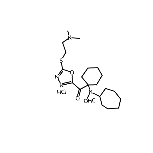 CN(C)CCSc1nnc(C(=O)C2(N(C=O)C3CCCCCC3)CCCCC2)o1.Cl